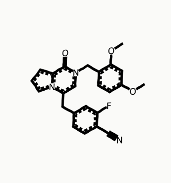 COc1ccc(Cn2cc(Cc3ccc(C#N)c(F)c3)n3cccc3c2=O)c(OC)c1